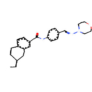 CCOC(=O)CC1CCc2ccc(C(=O)Nc3ccc(/C=N/N4CCOCC4)cc3)cc2C1